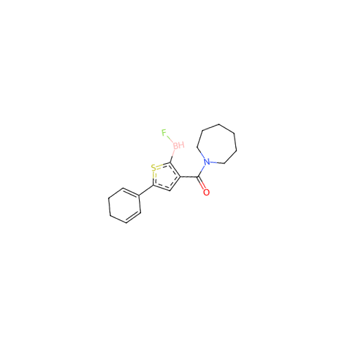 O=C(c1cc(C2=CCCC=C2)sc1BF)N1CCCCCC1